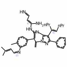 C=C1C(c2ccc(C)c(/N=C\C=C(C)C)c2)=C(N/C(N)=C/C=N)Nc2c(/C(=C/CCC)CCC)c(-c3ccccc3)nn21